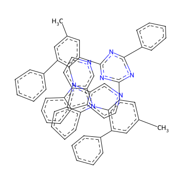 Cc1cc(-c2ccccc2)c(-n2c3ccccc3c3ccncc32)c(-c2nc(-c3ccccc3)nc(-c3cc(C)cc(-c4ccccc4)c3-n3c4ccccc4c4ccncc43)n2)c1